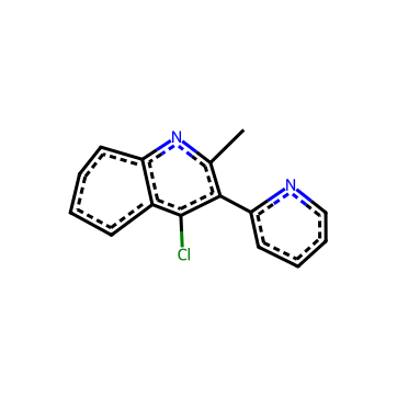 Cc1nc2ccccc2c(Cl)c1-c1ccccn1